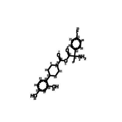 CC(N)(C(=O)OC(=O)N1CCC(c2ccc(O)cc2O)CC1)c1ccc(F)cc1